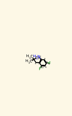 CC(C)(C)Cc1c(N)cc(F)cc1F